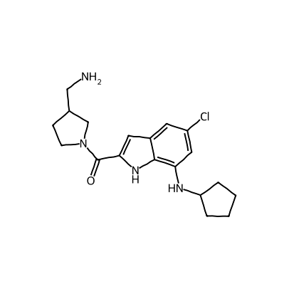 NCC1CCN(C(=O)c2cc3cc(Cl)cc(NC4CCCC4)c3[nH]2)C1